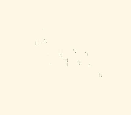 CCCCC[C@H](CN(O)C=O)C(=O)NNc1nc(CC)nc(N2CCN(C(C)C)CC2)n1